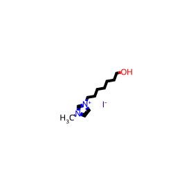 Cn1cc[n+](CCCCCCCO)c1.[I-]